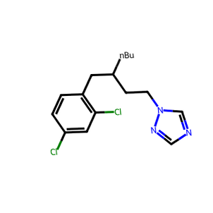 CCCCC(CCn1cncn1)Cc1ccc(Cl)cc1Cl